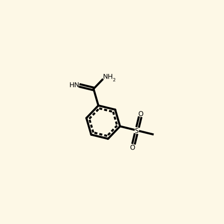 CS(=O)(=O)c1cccc(C(=N)N)c1